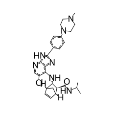 CC(C)NC(=O)[C@@H]1[C@H](Nc2c(Cl)cnc3[nH]c(-c4ccc(N5CCN(C)CC5)cc4)nc23)[C@H]2C=C[C@@H]1C2